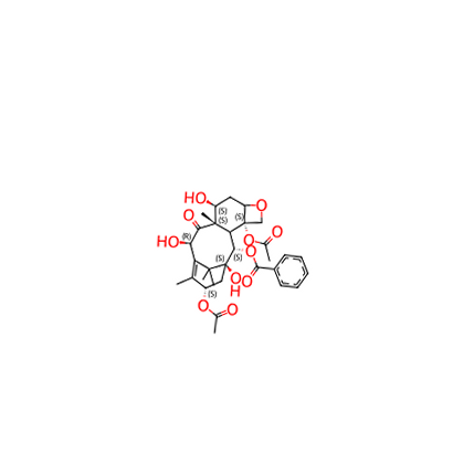 CC(=O)O[C@H]1C[C@@]2(O)[C@@H](OC(=O)c3ccccc3)C3[C@]4(OC(C)=O)COC4C[C@H](O)[C@@]3(C)C(=O)[C@H](O)C(=C1C)C2(C)C